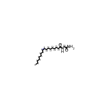 CCCCCCCC/C=C\CCCCCCCC(=O)NCC(N)=O